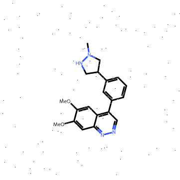 COc1cc2nncc(-c3cccc(C4CNN(C)C4)c3)c2cc1OC